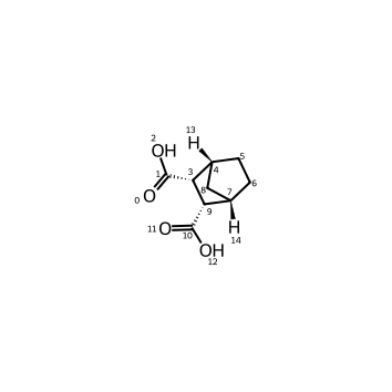 O=C(O)[C@@H]1[C@@H]2CC[C@@H](C2)[C@@H]1C(=O)O